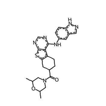 CC1CN(C(=O)C2CCc3c(sc4ncnc(Nc5ccc6[nH]ncc6c5)c34)C2)CC(C)O1